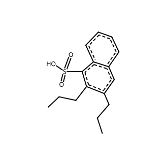 CCCc1cc2ccccc2c(S(=O)(=O)O)c1CCC